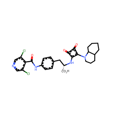 O=C(Nc1ccc(C[C@H](Nc2c(N3CCCC4CCCCC43)c(=O)c2=O)C(=O)O)cc1)c1c(Cl)cncc1Cl